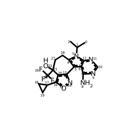 CC(C)n1c2c(c3c(N)ncnc31)-c1noc(C3CC3)c1C(O)(C(F)(F)F)CC2